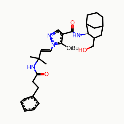 CC(C)COc1c(C(=O)N[C@@H]2C(CO)CC3CCCC2C3)cnn1/C=C/C(C)(C)NC(=O)CCc1ccccc1